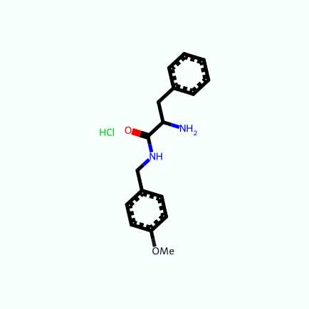 COc1ccc(CNC(=O)C(N)Cc2ccccc2)cc1.Cl